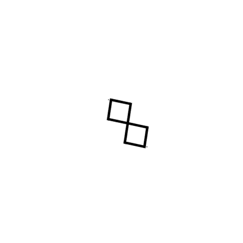 [CH]1CC2(C1)C[CH]C2